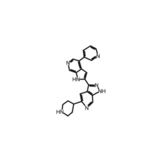 c1cncc(-c2cncc3[nH]c(-c4n[nH]c5cnc(C6CCNCC6)cc45)cc23)c1